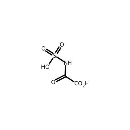 O=C(O)C(=O)NS(=O)(=O)O